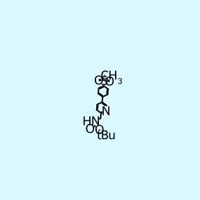 CC(C)(C)OC(=O)NCc1ccc(-c2ccc(S(C)(=O)=O)cc2)cn1